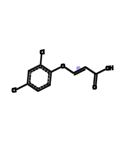 O=C(O)/C=C/Oc1ccc(Cl)cc1Cl